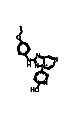 CCOc1ccc(NC2=N[N+]3(c4ccc(O)nc4)C=CN=CC3=N2)cc1